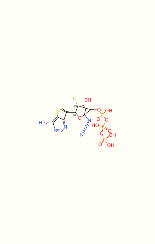 [N-]=[N+]=NC12O[C@@H](c3csc4c(N)ncnc34)[C@H](F)[C@@]1(O)C2OP(=O)(O)OP(=O)(O)OP(=O)(O)O